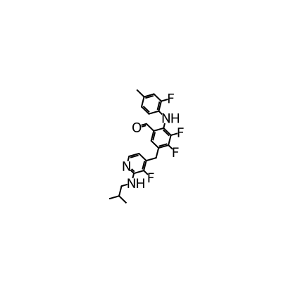 Cc1ccc(Nc2c(C=O)cc(Cc3ccnc(NCC(C)C)c3F)c(F)c2F)c(F)c1